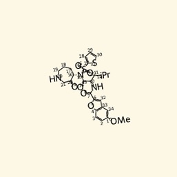 COc1ccc2oc(C(=O)NC(CC(C)C)C(=O)N([C@H]3CCCNCC3=O)S(=O)(=O)c3cccs3)cc2c1